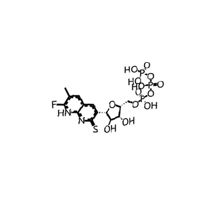 Cc1cc2cc([C@@H]3O[C@H](COP(=O)(O)OP(=O)(O)OP(=O)(O)O)[C@H](O)C3O)c(=S)nc-2[nH]c1F